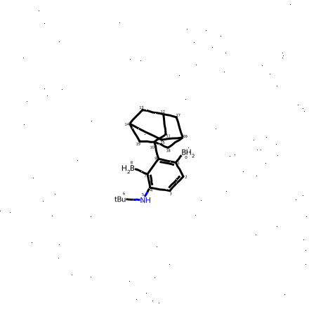 Bc1ccc(NC(C)(C)C)c(B)c1C12CC3CC(CC(C3)C1)C2